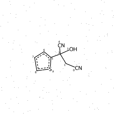 N#CCC(O)(C#N)c1cccs1